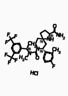 Cc1cc(F)ccc1[C@H]1C[C@]2(CC[C@@H](C(N)=O)N2)CCN1C(=O)N(C)[C@H](C)c1cc(C(F)(F)F)cc(C(F)(F)F)c1.Cl